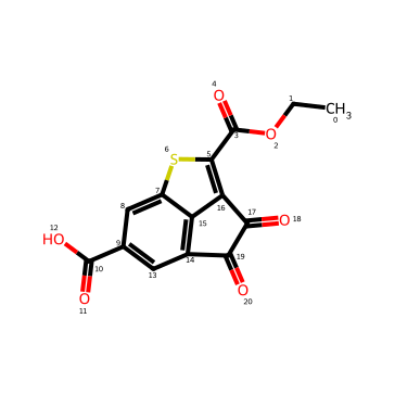 CCOC(=O)c1sc2cc(C(=O)O)cc3c2c1C(=O)C3=O